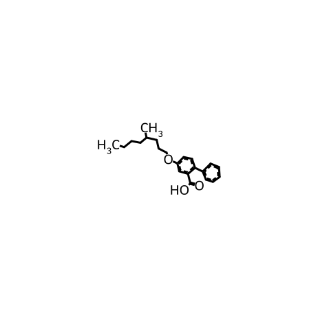 CCCCC(C)CCCOc1ccc(-c2ccccc2)c(C(=O)O)c1